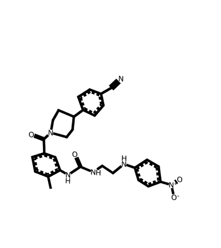 Cc1ccc(C(=O)N2CCC(c3ccc(C#N)cc3)CC2)cc1NC(=O)NCCNc1ccc([N+](=O)[O-])cc1